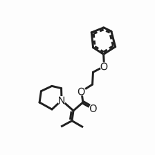 CC(C)=C(C(=O)OCCOc1ccccc1)N1CCCCC1